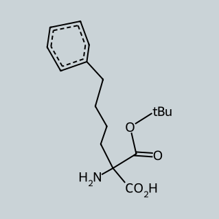 CC(C)(C)OC(=O)C(N)(CCCCc1ccccc1)C(=O)O